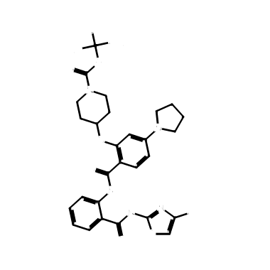 Cc1csc(NC(=O)c2ccccc2NC(=O)c2ccc(N3CCCC3)cc2OC2CCN(C(=O)OC(C)(C)C)CC2)n1